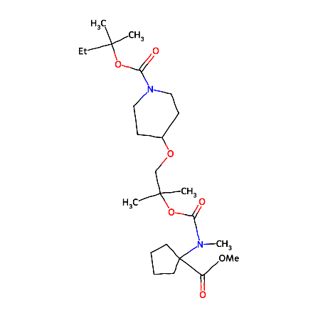 CCC(C)(C)OC(=O)N1CCC(OCC(C)(C)OC(=O)N(C)C2(C(=O)OC)CCCC2)CC1